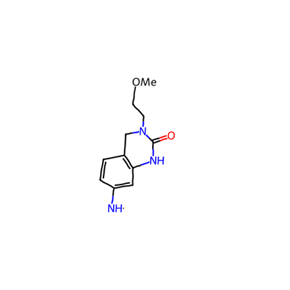 COCCN1Cc2ccc([NH])cc2NC1=O